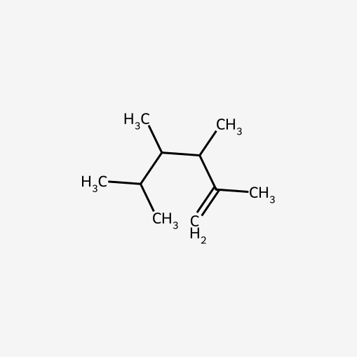 C=C(C)C(C)C(C)C(C)C